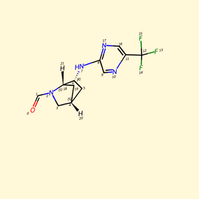 O=CN1C[C@H]2C[C@@H](Nc3cnc(C(F)(F)F)cn3)[C@@H]1C2